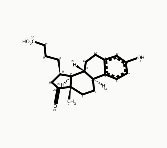 C[C@]12CC[C@@H]3c4ccc(O)cc4CC[C@H]3[C@@H]1[C@H](CCCC(=O)O)CC2=O